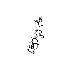 CCOC(=S)NCC1CN(c2ccc(N3CCOCC3)c(F)c2)C(=O)O1